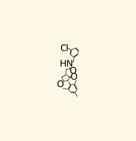 Cc1cc(C)c([C@H]2C(=O)CC(CC(=O)NCc3cccc(Cl)c3)C2=O)c(C)c1